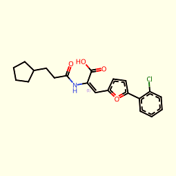 O=C(CCC1CCCC1)N/C(=C/c1ccc(-c2ccccc2Cl)o1)C(=O)O